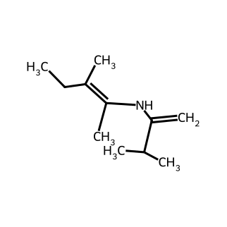 C=C(N/C(C)=C(\C)CC)C(C)C